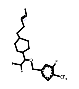 C/C=C/CCC1CCC(C(OCc2ccc(C(F)(F)F)c(F)c2)C(F)F)CC1